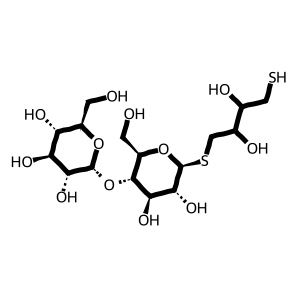 OC[C@H]1O[C@H](O[C@H]2[C@H](O)[C@@H](O)[C@H](SCC(O)C(O)CS)O[C@@H]2CO)[C@H](O)[C@@H](O)[C@@H]1O